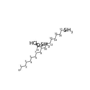 CCCCCCCCCCCCCCCCCC[SiH3].CO[SiH3].Cl